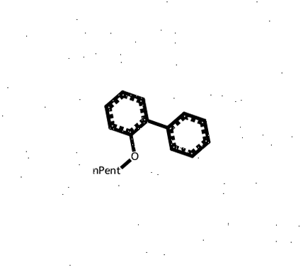 CCCCCOc1ccccc1-c1ccccc1